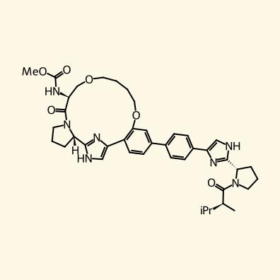 COC(=O)N[C@H]1COCCCCOc2cc(-c3ccc(-c4c[nH]c([C@@H]5CCCN5C(=O)[C@@H](C)C(C)C)n4)cc3)ccc2-c2c[nH]c(n2)[C@@H]2CCCN2C1=O